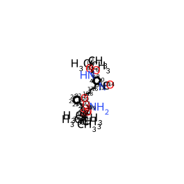 CC(C)(C)OC(=O)Nc1ccc(N=C=O)c(CCCCOc2ccccc2C(CO[Si](C)(C)C(C)(C)C)OC(N)=O)c1